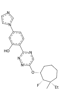 CC[C@@]1(C)CCCC[C@@H](Oc2cnc(-c3ccc(-n4ccnc4)cc3O)nn2)[C@H]1F